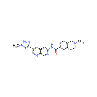 CN1CCc2cc(C(=O)Nc3cc4cc(-c5cn(C)nn5)cnc4cn3)ccc2C1